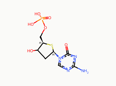 Nc1ncn([C@H]2CC(O)[C@@H](COP(=O)(O)O)S2)c(=O)n1